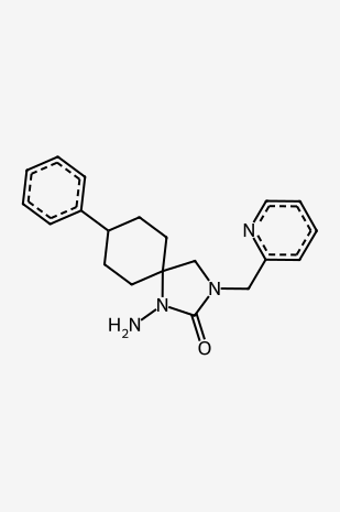 NN1C(=O)N(Cc2ccccn2)CC12CCC(c1ccccc1)CC2